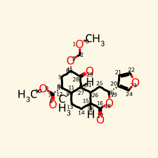 COCO[C@H]1C[C@@H](C(=O)OC)[C@]2(C)CC[C@H]3C(=O)O[C@@H](c4ccoc4)CC3[C@H]2C1=O